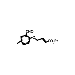 CCOC(=O)/C=C/COc1ccc(C)cc1C=O